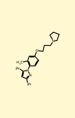 Cc1cc(OCCCN2CCCC2)ccc1-n1nc(C(C)C)cc1C(C)C